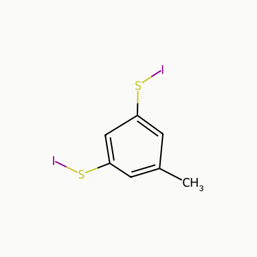 Cc1cc(SI)cc(SI)c1